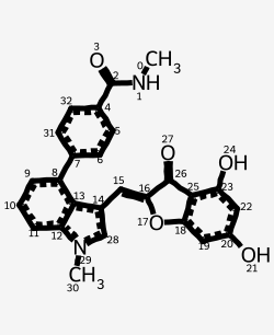 CNC(=O)c1ccc(-c2cccc3c2c(/C=C2\Oc4cc(O)cc(O)c4C2=O)cn3C)cc1